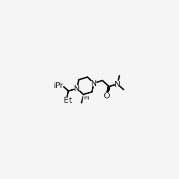 CCC(C(C)C)N1CCN(CC(=O)N(C)C)C[C@H]1C